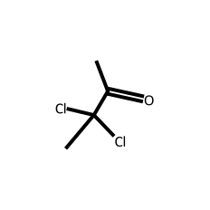 CC(=O)C(C)(Cl)Cl